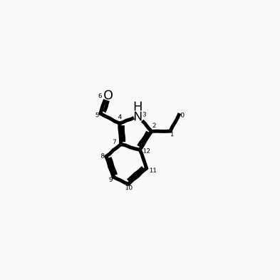 CCc1[nH]c(C=O)c2ccccc12